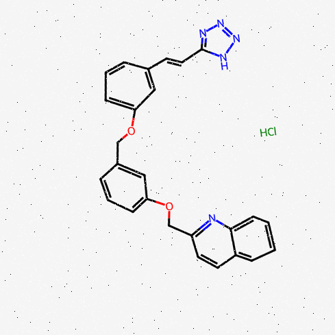 C(=Cc1nnn[nH]1)c1cccc(OCc2cccc(OCc3ccc4ccccc4n3)c2)c1.Cl